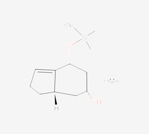 CO[C@]1(O)C[C@@H]2CCC=C2[C@H](O[Si](C)(C)C(C)(C)C)C1